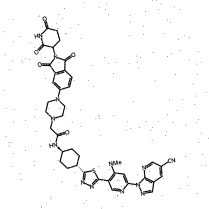 CNc1cc(-n2ncc3cc(C#N)cnc32)ncc1-c1nnc([C@H]2CC[C@H](NC(=O)CN3CCN(c4ccc5c(c4)C(=O)N(C4CCC(=O)NC4=O)C5=O)CC3)CC2)s1